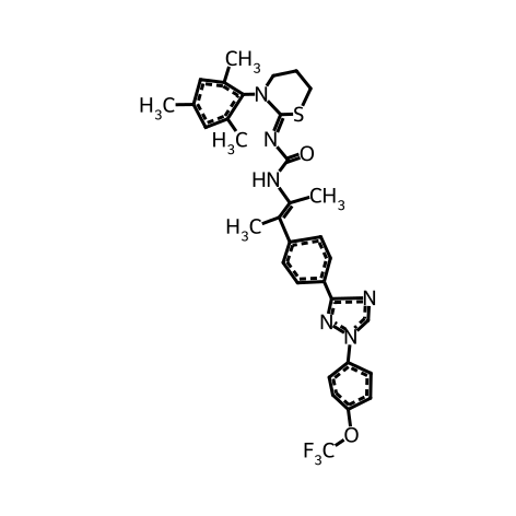 C/C(NC(=O)/N=C1\SCCCN1c1c(C)cc(C)cc1C)=C(/C)c1ccc(-c2ncn(-c3ccc(OC(F)(F)F)cc3)n2)cc1